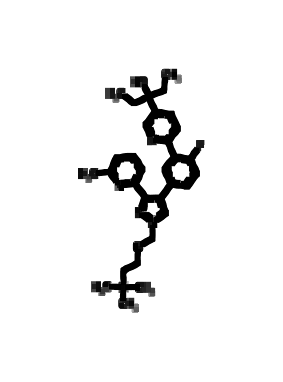 CCC(O)(CC)c1ccc(-c2cc(-c3cn(COCC[Si](C)(C)C)nc3-c3cccc(C)n3)ccc2F)nc1